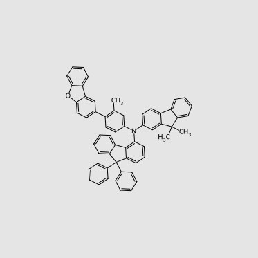 Cc1cc(N(c2ccc3c(c2)C(C)(C)c2ccccc2-3)c2cccc3c2-c2ccccc2C3(c2ccccc2)c2ccccc2)ccc1-c1ccc2oc3ccccc3c2c1